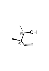 C=C[C@@H](C)[C@H](C)O